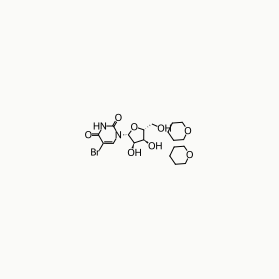 C1CCOCC1.C1CCOCC1.O=c1[nH]c(=O)n([C@@H]2O[C@H](CO)[C@@H](O)[C@H]2O)cc1Br